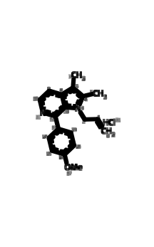 C=CCn1c(C)c(C)c2ccnc(-c3ccc(OC)cc3)c21.Cl